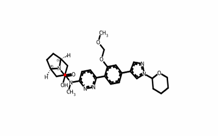 COCOc1cc(-c2cnn(C3CCCCO3)c2)ccc1-c1ccc(N(C)C2C[C@H]3CC[C@@H](C2)N3C(=O)O)nn1